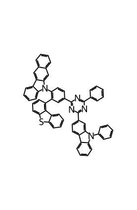 c1ccc(-c2nc(-c3ccc(-n4c5ccccc5c5cc6ccccc6cc54)c(-c4cccc5sc6ccccc6c45)c3)nc(-c3ccc4c5ccccc5n(-c5ccccc5)c4c3)n2)cc1